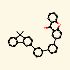 CC1(C)c2ccccc2-c2cc(-c3cccc(-c4cccc(-c5ccc6oc7ccccc7c(=O)c6c5)c4)c3)ccc21